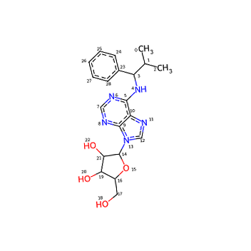 CC(C)C(Nc1ncnc2c1ncn2C1OC(CO)C(O)C1O)c1ccccc1